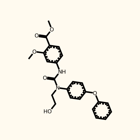 COC(=O)c1ccc(NC(=O)N(CCO)c2ccc(Oc3ccccc3)cc2)cc1OC